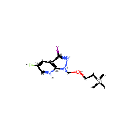 C[Si](C)(C)CCOCn1nc(I)c2cc(F)cnc21